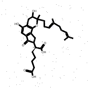 CC(C)=CCC/C(C)=C/CCC1(C)Oc2c(c(O)cc3c2CC([C@H](CCCCC(=O)O)C(=O)O)C3=O)CC1O